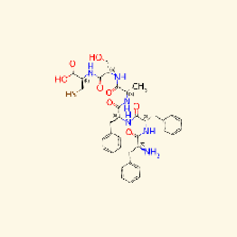 C[C@H](NC(=O)[C@H](Cc1ccccc1)NC(=O)[C@H](Cc1ccccc1)NC(=O)[C@@H](N)Cc1ccccc1)C(=O)N[C@@H](CO)C(=O)N[C@@H](CS)C(=O)O